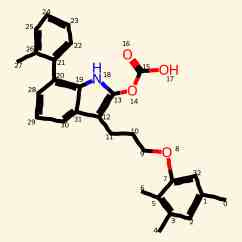 Cc1cc(C)c(C)c(OCCCc2c(OC(=O)O)[nH]c3c(-c4ccccc4C)cccc23)c1